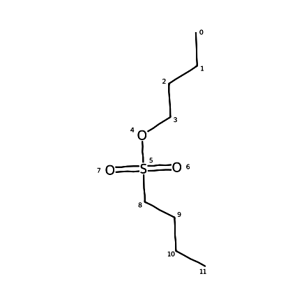 CCCCOS(=O)(=O)CCCC